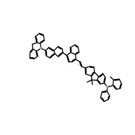 Cc1ccccc1N(c1ccccc1)c1ccc2c(c1)C(C)(C)c1cc(/C=C/c3ccc(-c4ccc5cc(N6c7ccccc7Cc7ccccc76)ccc5c4)c4ccccc34)ccc1-2